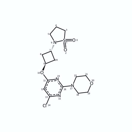 O=S1(=O)CCCN1[C@H]1C[C@H](Oc2cc(Cl)nc(N3CCOCC3)n2)C1